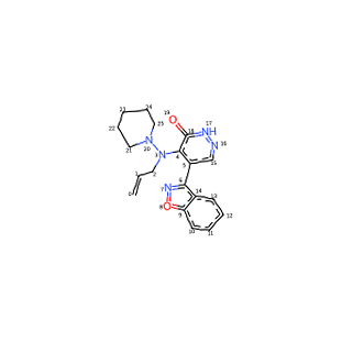 C=CCN(c1c(-c2noc3ccccc23)cn[nH]c1=O)N1CCCCC1